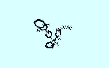 COc1cnc(-c2nc3ccccc3n2C2CCN([C@@H]3C[C@@H]4CCCC[C@@H](C4)C3)CC2)cn1